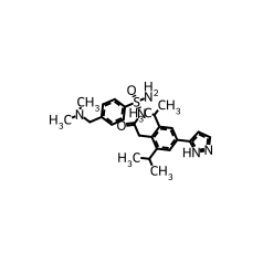 CC(C)c1cc(-c2ccn[nH]2)cc(C(C)C)c1CC(=O)N=S(N)(=O)c1ccc(CN(C)C)cc1